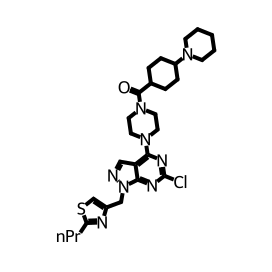 CCCc1nc(Cn2ncc3c(N4CCN(C(=O)C5CCC(N6CCCCC6)CC5)CC4)nc(Cl)nc32)cs1